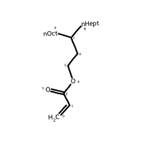 C=CC(=O)OCCC(CCCCCCC)CCCCCCCC